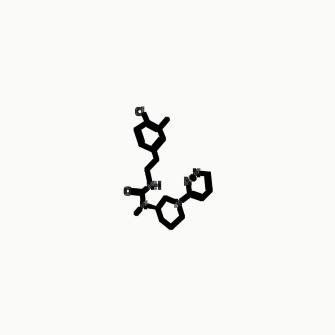 Cc1cc(CCNC(=O)N(C)[C@@H]2CCCN(c3cccnn3)C2)ccc1Cl